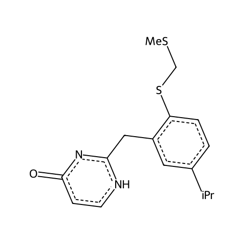 CSCSc1ccc(C(C)C)cc1Cc1nc(=O)cc[nH]1